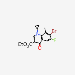 CCOC(=O)c1cn(C2CC2)c2c(C)c(Br)c(F)cc2c1=O